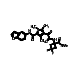 CNC(=O)C1(NC(=O)C(=O)c2c(C)c(C(=O)Nc3ccc4occc4c3)n(C)c2C)CC(F)(F)C1